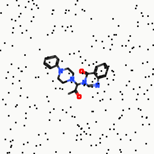 CC(=O)C(N1CCN(c2ccccc2)CC1)n1cnc2ccccc2c1=O